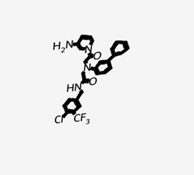 NC1C=CCN(C(=O)CN(CC(=O)NCc2ccc(Cl)c(C(F)(F)F)c2)c2cccc(-c3ccccc3)c2)C1